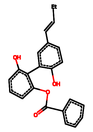 CCC=Cc1ccc(O)c(-c2c(O)cccc2OC(=O)c2ccccc2)c1